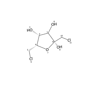 OC1[C@@H](O)[C@@H](CCl)O[C@]1(O)CCl